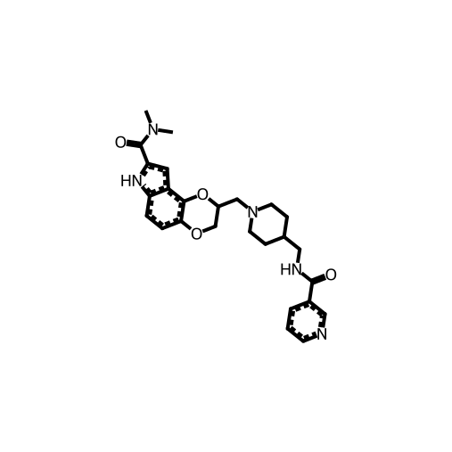 CN(C)C(=O)c1cc2c3c(ccc2[nH]1)OCC(CN1CCC(CNC(=O)c2cccnc2)CC1)O3